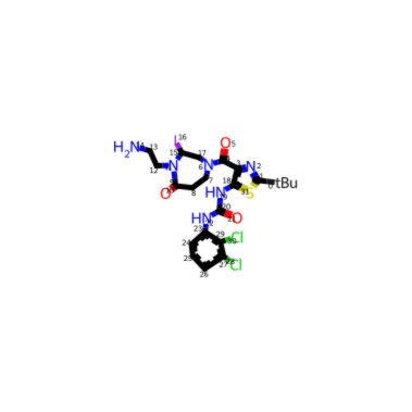 CC(C)(C)c1nc(C(=O)N2CCC(=O)N(CCN)C(I)C2)c(NC(=O)Nc2cccc(Cl)c2Cl)s1